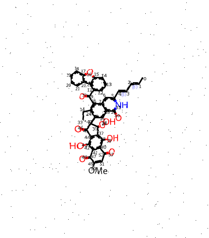 C/C=C/C=C/c1cc2c(C(=O)c3cccc4oc5ccccc5c34)c3c(c(O)c2c(=O)[nH]1)[C@@]1(CC3)C(=O)c2c(O)c3c(c(O)c2C1=O)C(=O)C(OC)=CC3=O